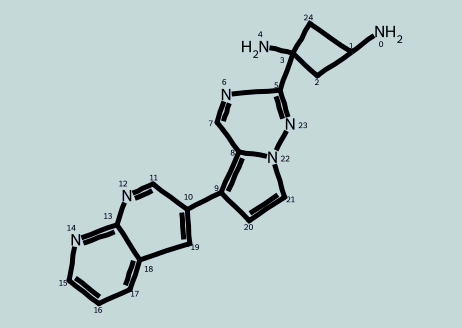 NC1CC(N)(c2ncc3c(-c4cnc5ncccc5c4)ccn3n2)C1